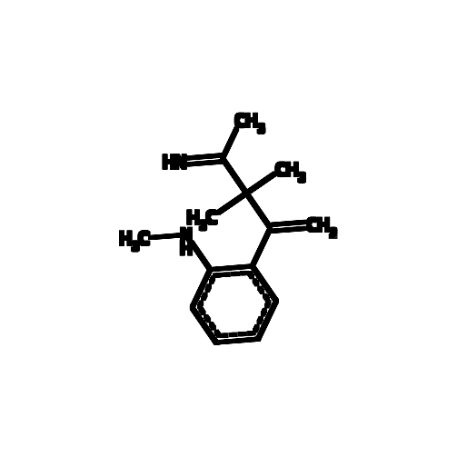 C=C(c1ccccc1NC)C(C)(C)C(C)=N